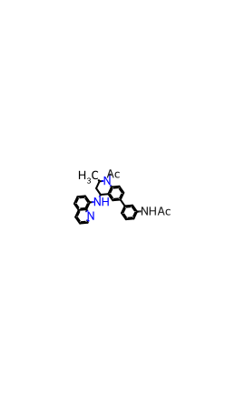 CC(=O)Nc1cccc(-c2ccc3c(c2)C(Nc2cccc4cccnc24)CC(C)N3C(C)=O)c1